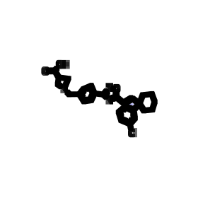 O=C(O)C1CN(Cc2ccc(-c3noc(/C=C/C4(c5cccc(Cl)c5)CCCCC4)n3)cc2)C1